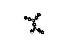 c1ccc(-c2ccc(-c3nc(-c4ccc(-c5cc(-c6ccccc6)nc(-c6ccc7c(c6)oc6ccccc67)n5)cc4)cc(-c4ccc5c(c4)oc4ccccc45)n3)cc2)cc1